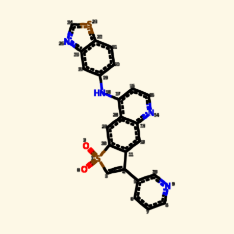 O=S1(=O)C=C(c2cccnc2)c2cc3nccc(Nc4ccc5scnc5c4)c3cc21